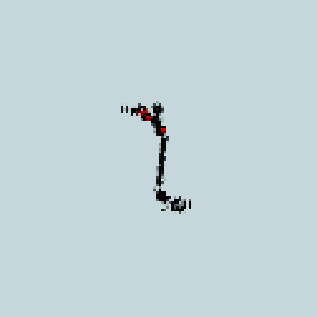 O=C1CCC(N2Cc3cc(OCCOCCOCCOCCOCCOc4ccc(-n5cc(-c6ccc7c(c6)CC/C7=N\O)c(-c6ccncc6)n5)cc4)ccc3C2=O)C(=O)N1